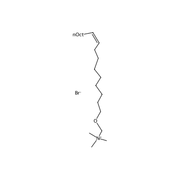 CCCCCCCC/C=C\CCCCCCCCOC[N+](C)(C)C.[Br-]